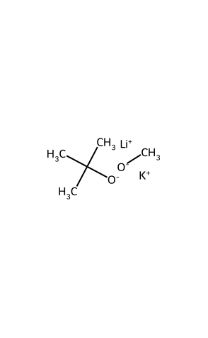 CC(C)(C)[O-].C[O-].[K+].[Li+]